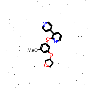 COc1cc(Oc2ncccc2-c2ccncc2)cc(O[C@H]2CCOC2)c1